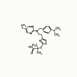 CCc1cnc(N(CCc2csc(SC(C)(C)C(=O)O)n2)Cc2ccc(C(C)C)cc2)nc1